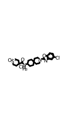 CC1(C(=O)NC2CCC3(CC2)CCN(c2nc4cc(Cl)ccc4o2)CC3)CC[S+]([O-])CC1